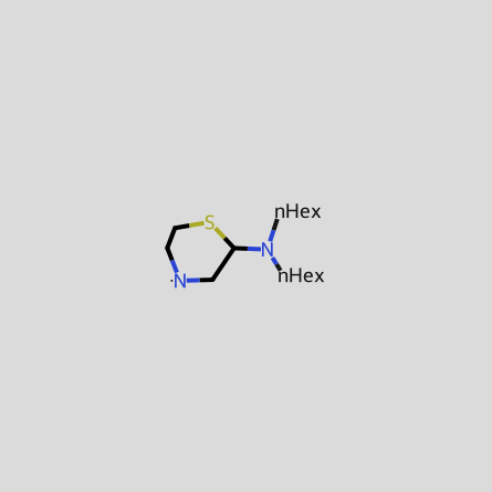 CCCCCCN(CCCCCC)C1C[N]CCS1